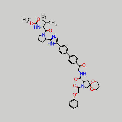 COC(=O)N[C@H](C(=O)N1CCCC1c1ncc(-c2ccc(-c3ccc(C(=O)CNC(=O)[C@@H]4CC5(CN4C(=O)COc4ccccc4)OCCCO5)cc3)cc2)[nH]1)C(C)C